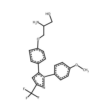 COc1ccc(-n2nc(C(F)(F)F)cc2-c2ccc(OCC(N)CO)cc2)cc1